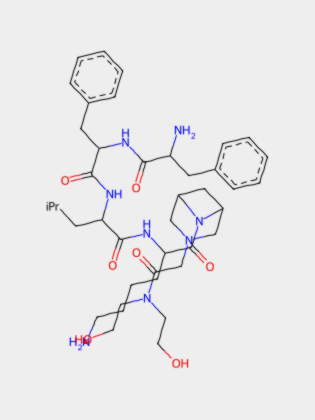 CC(C)CC(NC(=O)C(Cc1ccccc1)NC(=O)C(N)Cc1ccccc1)C(=O)NC(CCCCN)C(=O)N1C2CC1CN(CC(=O)N(CCO)CCO)C2